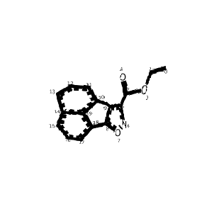 CCOC(=O)c1noc2c1-c1cccc3cccc-2c13